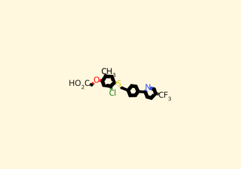 Cc1cc(SCc2ccc(-c3ccc(C(F)(F)F)cn3)cc2)c(Cl)cc1OCC(=O)O